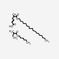 C=C(CC)C(=O)OCCCCCC.C=C(CC=CC(=O)O)C(=O)OCCCCCCCCCCCCCCCCCC